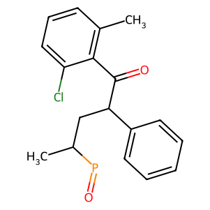 Cc1cccc(Cl)c1C(=O)C(CC(C)P=O)c1ccccc1